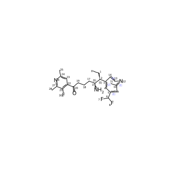 CC[C@@H](C1=C/C(C(F)F)=C\C(C)=N\C=C\1)[C@@H](N)CCCC(=O)c1cc(C)nc(C)c1F